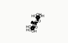 C=C(C)C(=O)OC(COC(=O)c1cc(O)c(O)c(O)c1)COC(=O)c1cc(O)c(O)c(O)c1